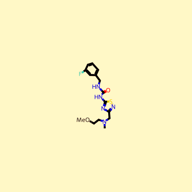 COCCN(C)Cc1nsc(NC(=O)NCc2cccc(F)c2)n1